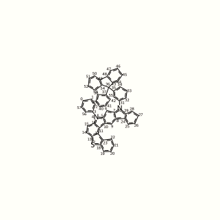 c1ccc(-n2c3cc4c(cc3c3c5c(ccc32)sc2ccccc25)c2ccccc2n4-c2cccc(C3(c4ccccc4)c4ccccc4-c4ccccc43)c2)cc1